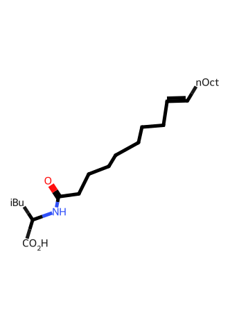 CCCCCCCCC=CCCCCCCCC(=O)NC(C(=O)O)C(C)CC